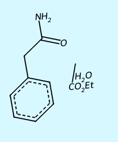 CCOC(C)=O.NC(=O)Cc1ccccc1.O